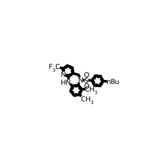 CCCCc1ccc(S(=O)(=O)N2Cc3ccc(C(F)(F)F)nc3Nc3ccc(C)c(C)c32)cc1